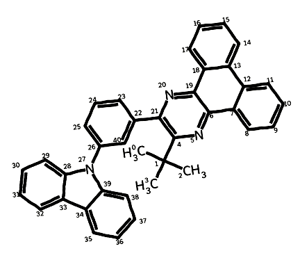 CC(C)(C)c1nc2c3ccccc3c3ccccc3c2nc1-c1cccc(-n2c3ccccc3c3ccccc32)c1